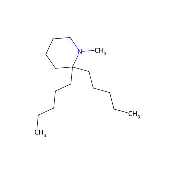 CCCCCC1(CCCCC)CCCCN1C